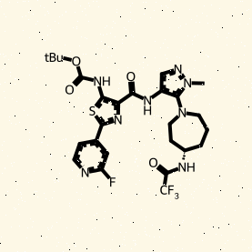 Cn1ncc(NC(=O)c2nc(-c3ccnc(F)c3)sc2NC(=O)OC(C)(C)C)c1N1CCC[C@H](NC(=O)C(F)(F)F)CC1